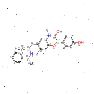 CC[C@H](c1ccccc1)N1Cc2cc3c(cc2C[C@H]1C(=O)O)N(C)C(=O)[C@H](c1ccc(O)cc1)O3